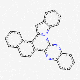 c1ccc2c(c1)ccc1c3nc4ccccc4nc3n3c4ccccc4cc3c21